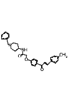 Cc1ccc(/C=C/C(=O)c2ccc(OCC(=O)NC3CCN(Cc4ccccc4)CC3)cc2)cc1